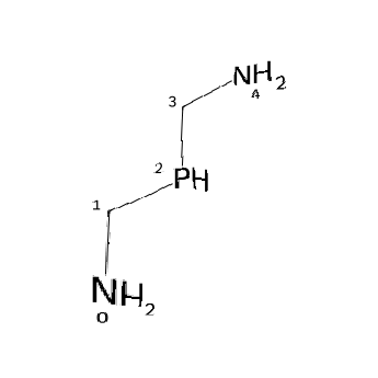 NCPCN